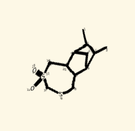 CC1C(C)C2CC1C1CSCS(=O)(=O)CC21